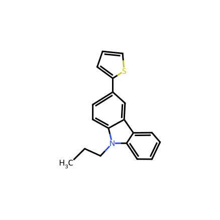 CCCn1c2ccccc2c2cc(-c3cccs3)ccc21